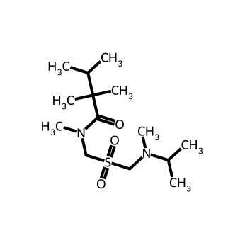 CC(C)N(C)CS(=O)(=O)CN(C)C(=O)C(C)(C)C(C)C